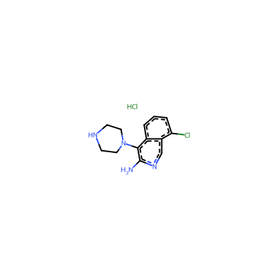 Cl.Nc1ncc2c(Cl)cccc2c1N1CCNCC1